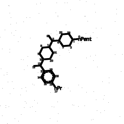 CCCCCC1CCC(C(C)C2CCC(C(C)c3ccc(CCC)cc3)CC2)CC1